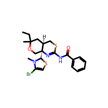 CCC1(C)C[C@H]2CSC(NC(=O)c3ccccc3)=N[C@@]2(C2SC=C(Br)N2C)CO1